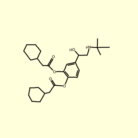 CC(C)(C)NCC(O)c1ccc(OC(=O)CC2CCCCC2)c(OC(=O)CC2CCCCC2)c1